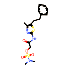 Cc1nc(NC(=O)COS(=O)(=O)N(C)C)sc1CCc1ccccc1